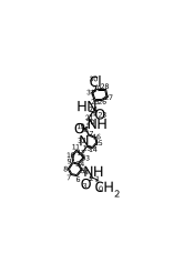 C=CC(=O)Nc1cccc2ccc(-c3cccc(C(=O)NCC(=O)Nc4cccc(Cl)c4)n3)cc12